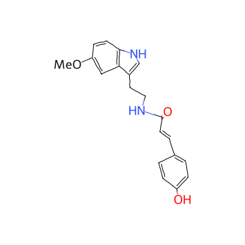 COc1ccc2[nH]cc(CCNC(=O)C=Cc3ccc(O)cc3)c2c1